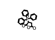 O=C1CC([PH](c2ccccc2)(c2ccccc2)c2ccccc2)C(=O)O1